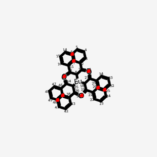 O=C(c1ccccc1)[CH](C(=O)c1ccccc1)[Eu]([CH](C(=O)c1ccccc1)C(=O)c1ccccc1)[CH](C(=O)c1ccccc1)C(=O)c1ccccc1